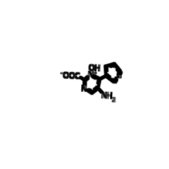 Nc1cnc(C(=O)[O-])[n+](O)c1-c1ccccc1